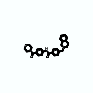 O=C(Nc1ccc(C(=O)N2CCOCC2)cc1)c1ccc(CN2CCc3ccccc3C2)cc1